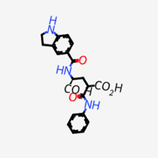 O=C(N[C@@H](CC(C(=O)O)C(=O)Nc1ccccc1)C(=O)O)c1ccc2c(c1)CCN2